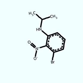 CC(C)Nc1cccc(Br)c1[N+](=O)[O-]